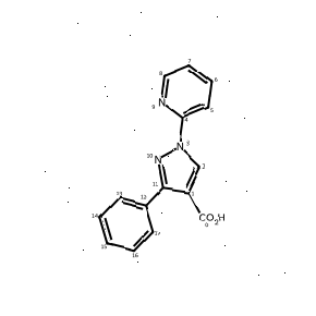 O=C(O)c1cn(-c2ccccn2)nc1-c1ccccc1